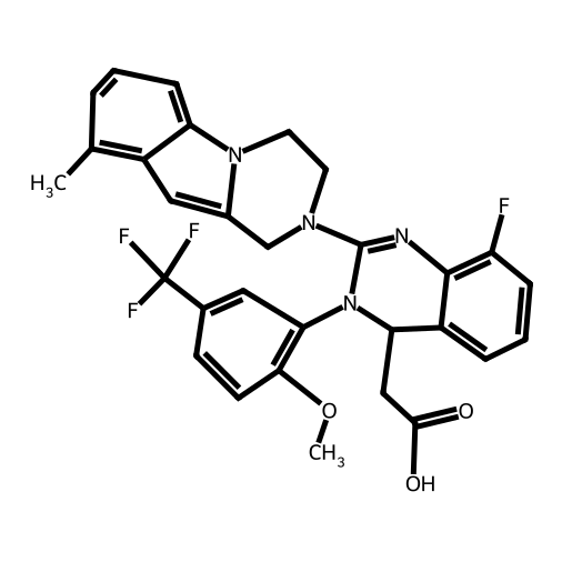 COc1ccc(C(F)(F)F)cc1N1C(N2CCn3c(cc4c(C)cccc43)C2)=Nc2c(F)cccc2C1CC(=O)O